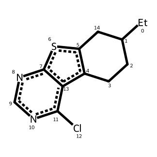 CCC1CCc2c(sc3ncnc(Cl)c23)C1